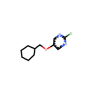 Clc1ncc(OCC2CCCCC2)cn1